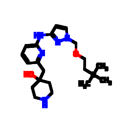 C[Si](C)(C)CCOCn1ccc(Nc2cccc(CC3(O)CCNCC3)n2)n1